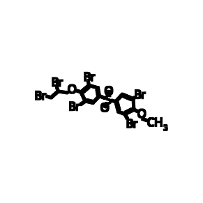 CCOc1c(Br)cc(S(=O)(=O)c2cc(Br)c(OCC(Br)CBr)c(Br)c2)cc1Br